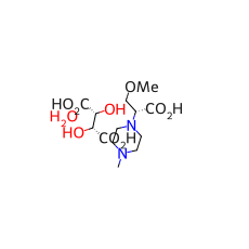 COC[C@H](C(=O)O)N1CCN(C)CC1.O.O=C(O)[C@H](O)[C@@H](O)C(=O)O